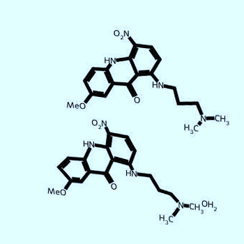 COc1ccc2[nH]c3c([N+](=O)[O-])ccc(NCCCN(C)C)c3c(=O)c2c1.COc1ccc2[nH]c3c([N+](=O)[O-])ccc(NCCCN(C)C)c3c(=O)c2c1.O